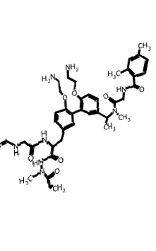 C=CC(=O)N(C)NC(=O)C(Cc1ccc(OCCN)c(-c2cc(C(C)N(C)C(=O)CNC(=O)c3ccc(C)cc3C)ccc2OCCN)c1)NC(=O)CNC=O